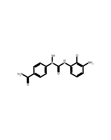 NC(=O)c1ccc(N(S)C(=O)Nc2cccc(N)c2Cl)cc1